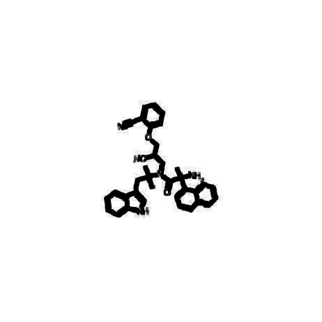 CC(N)(C(=O)N(CC(O)COc1ccccc1C#N)C(C)(C)Cc1c[nH]c2ccccc12)c1cccc2ccccc12